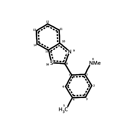 CNc1ccc(C)cc1-c1nc2ccccc2s1